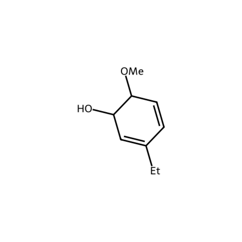 CCC1=CC(O)C(OC)C=C1